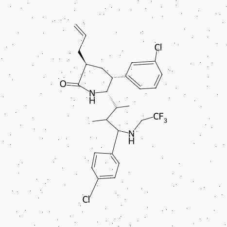 C=CC[C@H]1C[C@H](c2cccc(Cl)c2)[C@H](C(C)C(C)C(NCC(F)(F)F)c2ccc(Cl)cc2)NC1=O